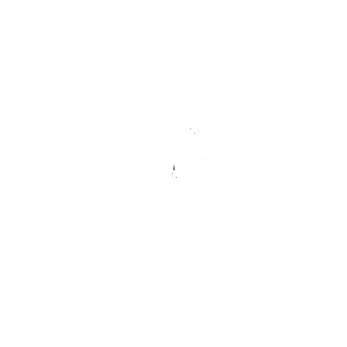 O=C1CCC[C@H](N2Cc3csc(CCl)c3C2=O)C(=O)N1